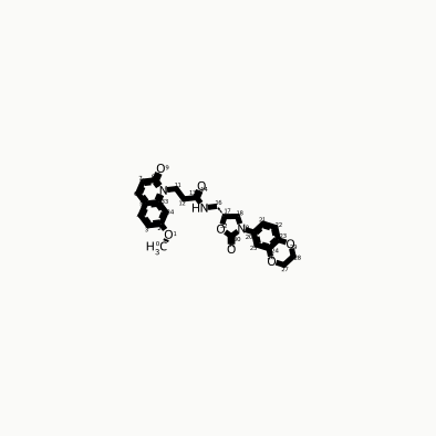 COc1ccc2ccc(=O)n(CCC(=O)NC[C@@H]3CN(c4ccc5c(c4)OCCO5)C(=O)O3)c2c1